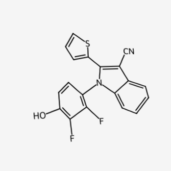 N#Cc1c(-c2cccs2)n(-c2ccc(O)c(F)c2F)c2ccccc12